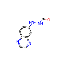 O=CNNc1ccc2nccnc2c1